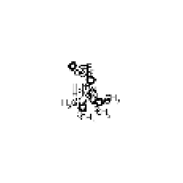 COc1ccc(CN(Cc2ccc(OC)cc2OC)c2ncnc(N(N)C3CCCC(C(OC(=S)Oc4ccccc4)C(F)(F)F)C3)c2N)c(OC)c1